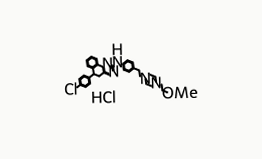 COCCN1CCN(CCc2ccc(Nc3ncc4c(n3)-c3ccccc3C(c3ccc(Cl)cc3)C4)cc2)CC1.Cl